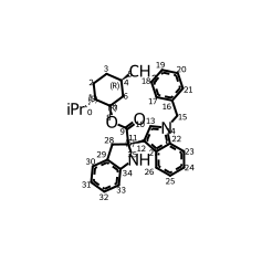 CC(C)[C@@H]1CC[C@@H](C)C[C@H]1OC(=O)[C@@]1(c2cn(Cc3ccccc3)c3ccccc23)Cc2ccccc2N1